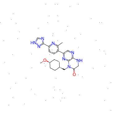 CO[C@H]1CC[C@@H](CN2C(=O)CNc3ncc(-c4ccc(-c5nc[nH]n5)nc4C)nc32)CC1